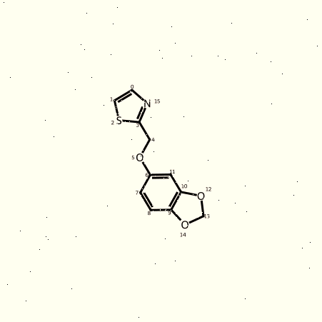 c1csc(COc2ccc3c(c2)OCO3)n1